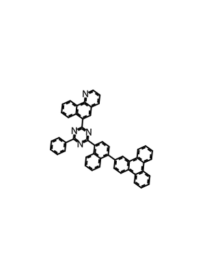 c1ccc(-c2nc(-c3ccc(-c4ccc5c6ccccc6c6ccccc6c5c4)c4ccccc34)nc(-c3cc4cccnc4c4ccccc34)n2)cc1